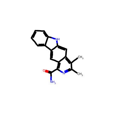 Cc1nc(C(N)=O)c2cc3c(cc2c1C)[nH]c1ccccc13